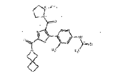 CC[C@H](Nc1cc(C)c(-c2sc(C(=O)N3CC4(COC4)C3)nc2C(=O)N2CCC[C@@H]2C)cn1)C(F)(F)F